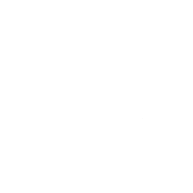 CCCCCCCCCC(C(=O)Cl)C(F)(F)F